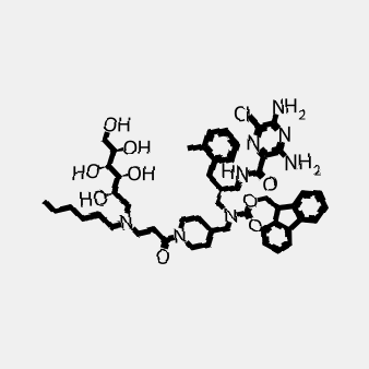 CCCCCCN(CCC(=O)N1CCC(CN(C[C@H](CNC(=O)c2nc(Cl)c(N)nc2N)Cc2ccccc2C)C(=O)OCC2c3ccccc3-c3ccccc32)CC1)C[C@H](O)[C@@H](O)[C@H](O)[C@H](O)CO